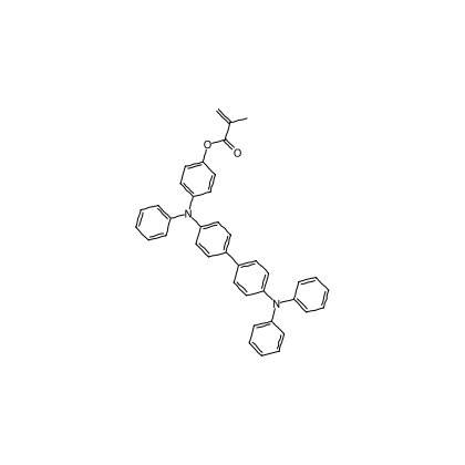 C=C(C)C(=O)Oc1ccc(N(c2ccccc2)c2ccc(-c3ccc(N(c4ccccc4)c4ccccc4)cc3)cc2)cc1